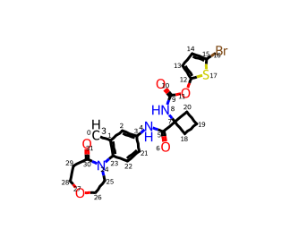 Cc1cc(NC(=O)C2(NC(=O)Oc3ccc(Br)s3)CCC2)ccc1N1CCOCCC1=O